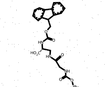 CC(C)(C)OC(=O)NCC(=O)NC[C@@H](NC(=O)OCC1c2ccccc2-c2ccccc21)C(=O)O